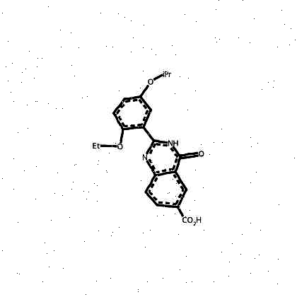 CCOc1ccc(OC(C)C)cc1-c1nc2ccc(C(=O)O)cc2c(=O)[nH]1